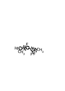 Cc1cn2nc(-c3cc(F)c4nn([C@@H]5CCN[C@H](C)C5)nc4c3)cc(C(F)F)c2n1